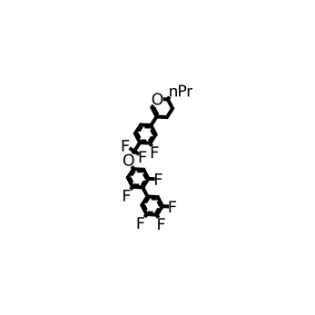 CCCC1CCC(c2ccc(C(F)(F)Oc3cc(F)c(-c4cc(F)c(F)c(F)c4)c(F)c3)c(F)c2)=CO1